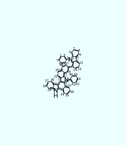 c1ccc(-n2c3ccccc3c3cccc(-c4ccc5ccc6c7c8c9ccccc9[nH]c8c8ccccc8c7n(-c7ccccc7)c6c5c4)c32)cc1